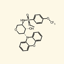 CN=S(=O)(N[C@@H]1COC[C@@H](N2c3ccccc3Oc3ccccc32)[C@H]1O)c1ccc(OC(F)(F)F)cc1